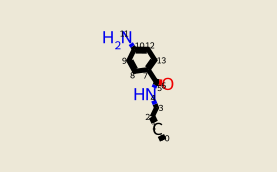 C=C=CCNC(=O)c1ccc(N)cc1